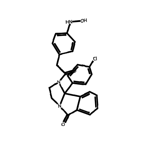 O=C(Cc1ccc(NO)cc1)N1CCN2C(=O)c3ccccc3C12c1ccc(Cl)cc1